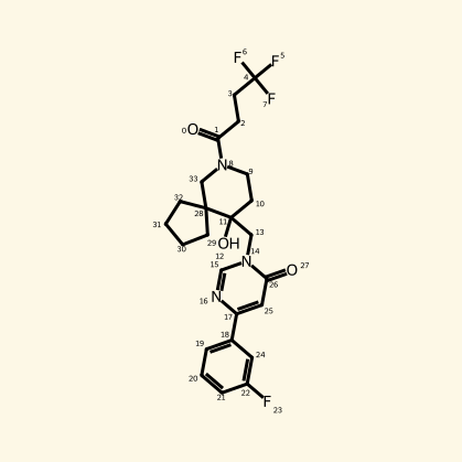 O=C(CCC(F)(F)F)N1CCC(O)(Cn2cnc(-c3cccc(F)c3)cc2=O)C2(CCCC2)C1